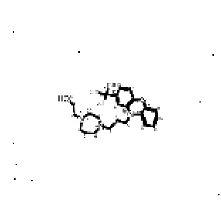 OCCN1CCCN(CCCN2c3ccccc3Sc3ccc(C(F)(F)F)cc32)CC1